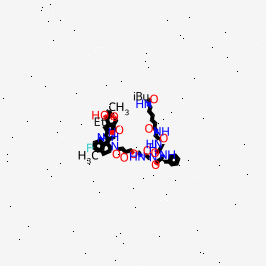 C/C=C1\OCc2c(cc3n(c2=O)Cc2c-3nc3cc(F)c(C)c4c3c2[C@@H](NC(=O)CC(=O)COCNC(=O)CNC(=O)[C@H](Cc2ccccc2)NC(=O)CNC(=O)CNC(=O)CCCCCNC(=O)C(C)CC)CC4)[C@@]1(O)CC